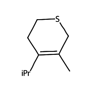 CC1=C(C(C)C)CCSC1